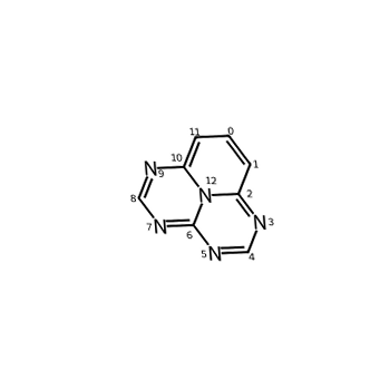 C1=CC2=NC=NC3=NC=NC(=C1)N23